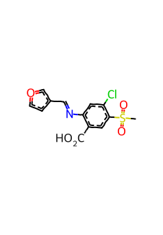 CS(=O)(=O)c1cc(C(=O)O)c(N=Cc2ccoc2)cc1Cl